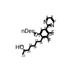 CCCCCCCCCCOc1cc(-c2ncccn2)c(F)c(F)c1CCCCCC(C)O